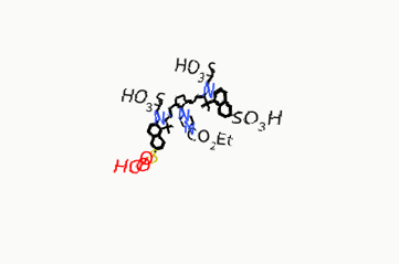 CCOC(=O)N1CCN(C2=C(C=CC3=[N+](CCS(=O)(=O)O)c4ccc5cc(SOOO)ccc5c4C3(C)C)CCC2=C/C=C2/N(CCS(=O)(=O)O)c3ccc4cc(S(=O)(=O)O)ccc4c3C2(C)C)CC1